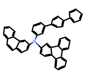 c1ccc(-c2ccc(-c3cccc(N(c4ccc5ccc6ccccc6c5c4)c4ccc5c6ccccc6c6ccccc6c5c4)c3)cc2)cc1